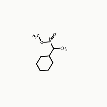 CO[PH](=O)C(C)C1CCCCC1